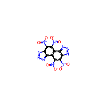 O=[N+]([O-])c1c2c(c3c([N+](=O)[O-])c([N+](=O)[O-])c4c(c3c1[N+](=O)[O-])=NN=N4)=NN=N2